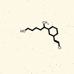 CC(CCCCO)C1CCCC(/C=C/Cl)C1